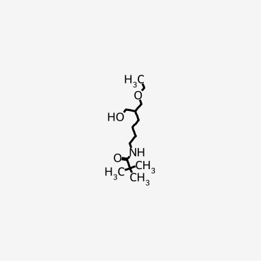 CCOCC(CO)CCCCNC(=O)C(C)(C)C